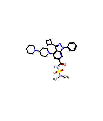 CN(C)S(=O)(=O)NC(=O)c1cc(N2CCC(N3CCCCC3)CC2)c2c(C3CCC3)nn(-c3ccccc3)c2n1